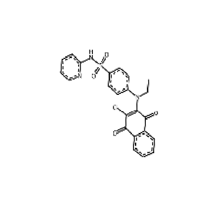 CCN(C1=C(Cl)C(=O)c2ccccc2C1=O)c1ccc(S(=O)(=O)Nc2ccccn2)cc1